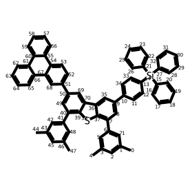 Cc1cc(C)cc(-c2cc(-c3ccc([Si](c4ccccc4)(c4ccccc4)c4ccccc4)cc3)cc3c2sc2c(-c4cc(C)cc(C)c4)cc(-c4ccc5c6ccccc6c6ccccc6c5c4)cc23)c1